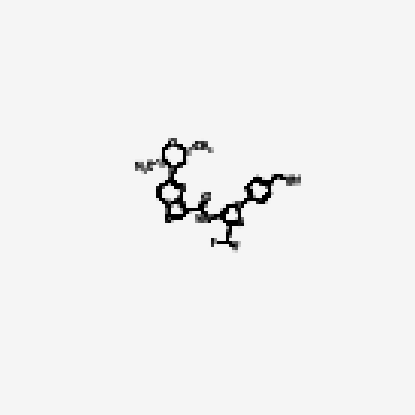 C[C@@H]1CN(c2ccn3ncc(C(=O)Nc4cn(-c5ccc(CO)cc5)nc4C(F)F)c3n2)[C@H](C)CO1